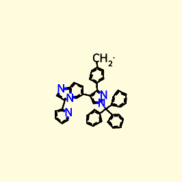 [CH2]c1ccc(-c2nn(C(c3ccccc3)(c3ccccc3)c3ccccc3)cc2-c2ccc3ncc(-c4ccccn4)n3c2)cc1